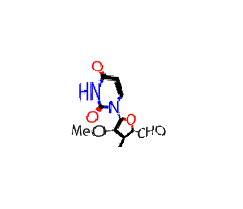 CO[C@H]1C(C)[C@@H](C=O)O[C@H]1n1ccc(=O)[nH]c1=O